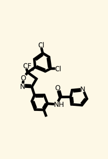 Cc1ccc(C2=NOC(c3cc(Cl)cc(Cl)c3)(C(F)(F)F)C2)cc1NC(=O)c1cccnc1